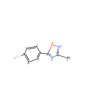 CC(C)c1noc(-c2ccc(F)cc2)n1